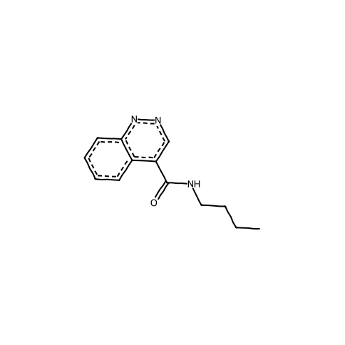 CCCCNC(=O)c1cnnc2ccccc12